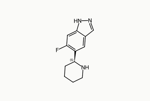 Fc1cc2[nH]ncc2cc1[C@@H]1CCCCN1